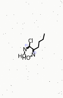 CCCCC(=N/O)/C(Cl)=N\O